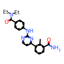 CCN(CC)C(=O)c1ccc(Nc2nccc(-c3cccc(C(N)=O)c3C)n2)cc1